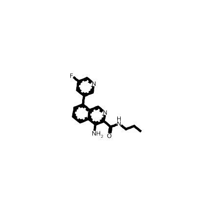 CCCNC(=O)c1ncc2c(-c3cncc(F)c3)cccc2c1N